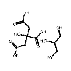 NC(CO)CO.O=C(O)CC(O)(CC(=O)O)C(=O)O